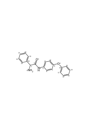 NC(C(=O)Nc1ccc(Oc2ccccc2)cc1)c1ccccc1